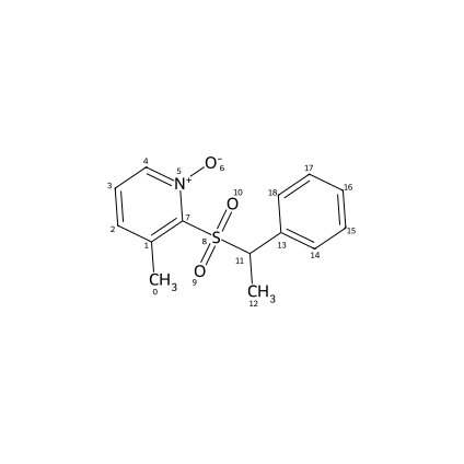 Cc1ccc[n+]([O-])c1S(=O)(=O)C(C)c1ccccc1